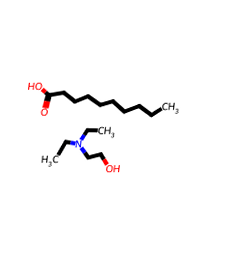 CCCCCCCCCC(=O)O.CCN(CC)CCO